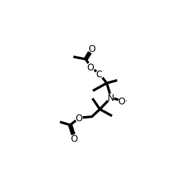 CC(=O)OCC(C)(C)N([O])C(C)(C)COC(C)=O